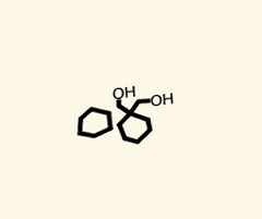 C1CCCCC1.OCC1(CO)CCCCC1